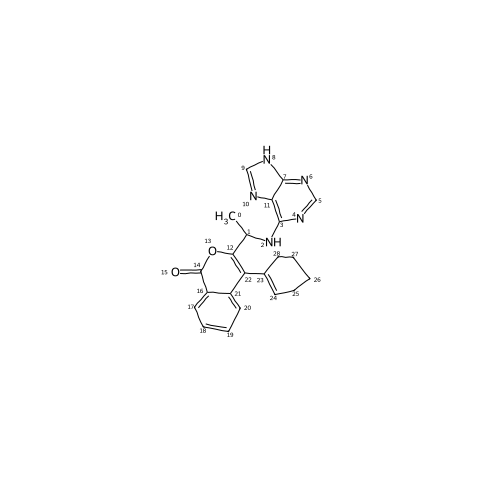 CC(Nc1ncnc2[nH]cnc12)c1oc(=O)c2ccccc2c1C1=CCCCC1